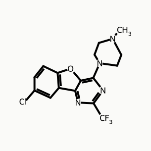 CN1CCN(c2nc(C(F)(F)F)nc3c2oc2ccc(Cl)cc23)CC1